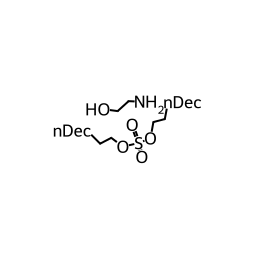 CCCCCCCCCCCCOS(=O)(=O)OCCCCCCCCCCCC.NCCO